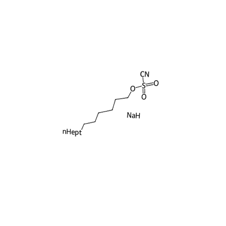 CCCCCCCCCCCCCOS(=O)(=O)C#N.[NaH]